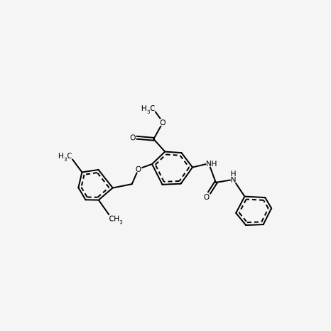 COC(=O)c1cc(NC(=O)Nc2ccccc2)ccc1OCc1cc(C)ccc1C